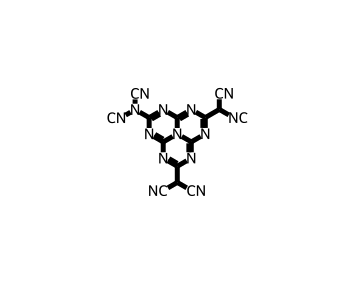 [C-]#[N+]C(C#N)C1=NC2=NC(C(C#N)C#N)=NC3=NC(N(C#N)[N+]#[C-])=NC(=N1)N23